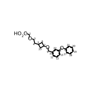 O=C(O)COCCC1CC(OCc2cccc(Oc3ccccc3)c2)C1